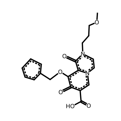 COCCCn1ccn2cc(C(=O)O)c(=O)c(OCc3ccccc3)c2c1=O